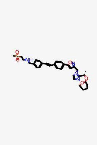 C[C@H](OC1CCCCO1)c1nccn1Cc1cc(-c2ccc(C#Cc3ccc(CNCCS(C)(=O)=O)cc3)cc2)on1